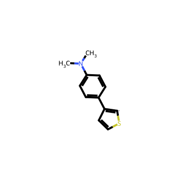 CN(C)c1ccc(-c2[c]scc2)cc1